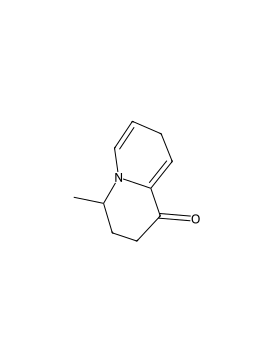 CC1CCC(=O)C2=CCC=CN21